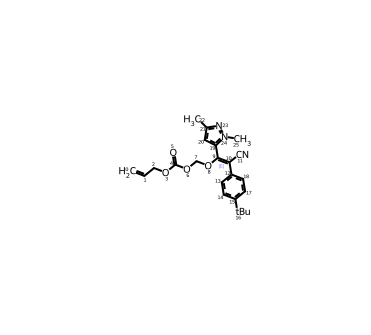 C=CCOC(=O)OCO/C(=C(/C#N)c1ccc(C(C)(C)C)cc1)c1cc(C)nn1C